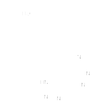 Oc1ccc(-c2nnnc3nn[nH]c23)cc1